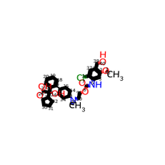 COc1cc(NC(=O)OCCN(C)[C@H]2CC[C@H](c3ccccc3[C@@](O)(C(=O)O)C3CCCC3)CC2)c(Cl)cc1CO